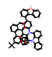 CC(C)(C)c1cc(-c2cccc3cccc(-c4ccccc4N(c4ccc(-c5cccc6oc7ccccc7c56)cc4)c4cccc5c6ccccc6n(-c6ccccc6)c45)c23)cc(C(C)(C)C)c1